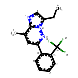 CCc1cnc2c(C)cc(-c3ccccc3C(F)(F)F)nn12